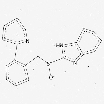 [O-][S+](Cc1ccccc1-c1ccccn1)c1nc2ccccc2[nH]1